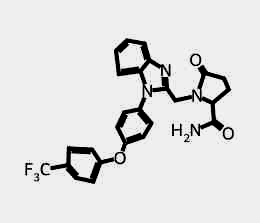 NC(=O)C1CCC(=O)N1Cc1nc2ccccc2n1-c1ccc(Oc2ccc(C(F)(F)F)cc2)cc1